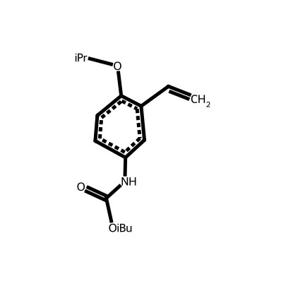 C=Cc1cc(NC(=O)OCC(C)C)ccc1OC(C)C